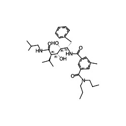 CCCN(CCC)C(=O)c1cc(C)cc(C(=O)N[C@@H](Cc2ccccc2)[C@@H](O)[C@H](O)[C@H](C(=O)NCC(C)C)C(C)C)c1